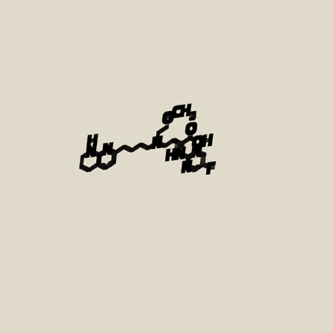 COCCN(CCCCc1ccc2c(n1)NCCC2)CC[C@H](Nc1ncc(F)cn1)C(=O)O